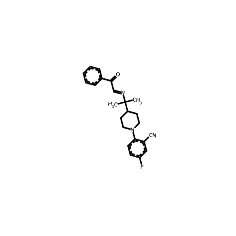 CC(C)(N=CC(=O)c1ccccc1)C1CCN(c2ccc(F)cc2C#N)CC1